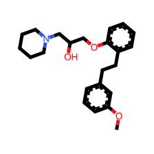 COc1cccc(CCc2ccccc2OCC(O)CN2CCCCC2)c1